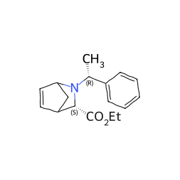 CCOC(=O)[C@@H]1C2C=CC(C2)N1[C@H](C)c1ccccc1